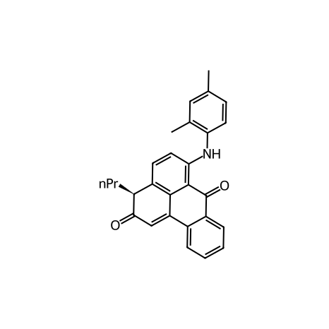 CCC[C@@H]1C(=O)C=C2c3ccccc3C(=O)c3c(Nc4ccc(C)cc4C)ccc1c32